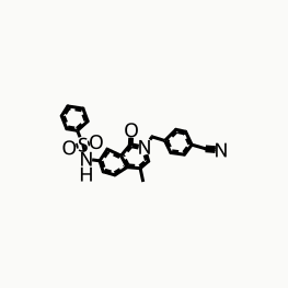 Cc1cn(Cc2ccc(C#N)cc2)c(=O)c2cc(NS(=O)(=O)c3ccccc3)ccc12